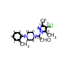 Cc1ccccc1N1CCN(C(C=O)n2nc(C(F)(F)F)c(Cl)c2C)CC1